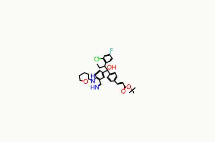 CCC(c1ccc(F)cc1Cl)C(O)(c1ccc(/C=C/C(=O)OC(C)(C)C)cc1)c1ccc(NC2CCCCO2)c(C=N)c1